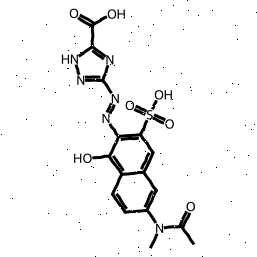 CC(=O)N(C)c1ccc2c(O)c(N=Nc3n[nH]c(C(=O)O)n3)c(S(=O)(=O)O)cc2c1